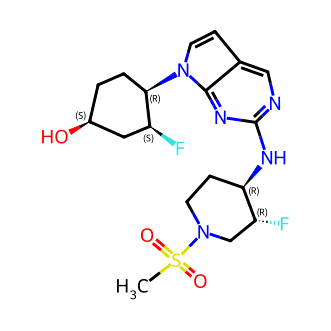 CS(=O)(=O)N1CC[C@@H](Nc2ncc3ccn([C@@H]4CC[C@H](O)C[C@@H]4F)c3n2)[C@H](F)C1